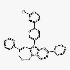 Clc1cccc(-c2ccc(-n3c4c(c5ccc(-c6ccccc6)cc53)C=CCC(c3ccccc3)=C4)cc2)c1